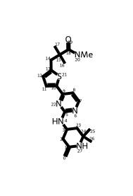 C=C1CC(Nc2nccc(-c3ccc(CC(C)(C)C(=O)NC)s3)n2)CC(C)(C)N1